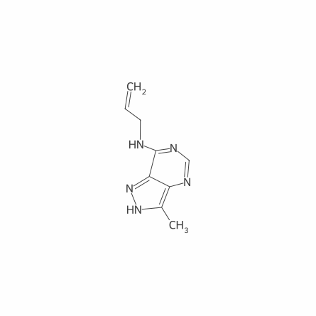 C=CCNc1ncnc2c(C)[nH]nc12